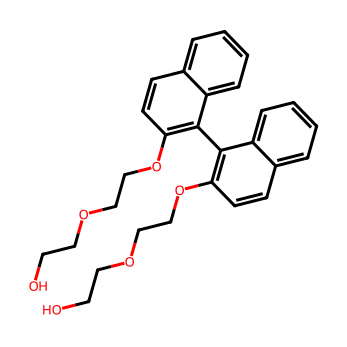 OCCOCCOc1ccc2ccccc2c1-c1c(OCCOCCO)ccc2ccccc12